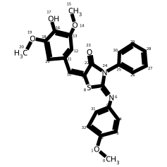 COc1ccc(N=C2SC(=Cc3cc(OC)c(O)c(OC)c3)C(=O)N2c2ccccc2)cc1